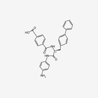 Nc1ccc(NC(=O)[C@H](Cc2ccc(-c3ccccc3)cc2)NC(=O)c2ccc(C(=O)O)cc2)cc1